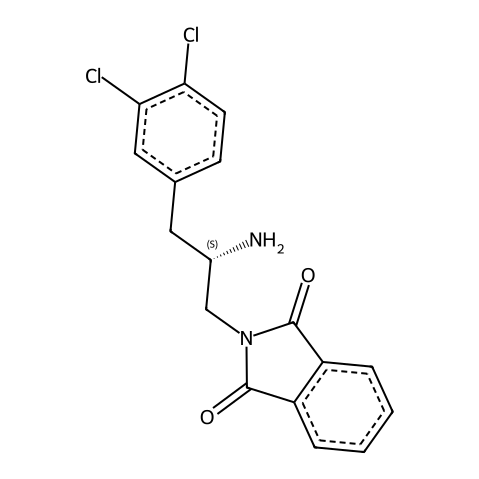 N[C@@H](Cc1ccc(Cl)c(Cl)c1)CN1C(=O)c2ccccc2C1=O